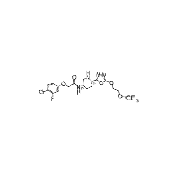 O=C(COc1ccc(Cl)c(F)c1)N[C@H]1CC[C@H](c2nnc(OCCOC(F)(F)F)o2)NC1